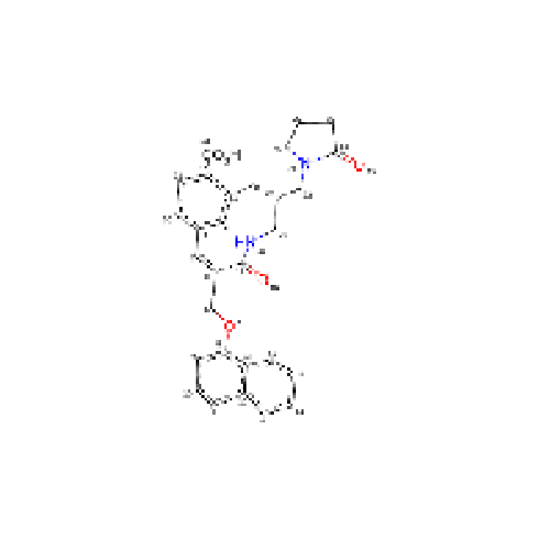 Cc1cc(C=C(COc2cccc3ccccc23)C(=O)NCCCN2CCCC2=O)ccc1C(=O)O